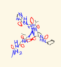 CCC[C@H](NC(=O)[C@@H]1CN(C(=O)Nc2ccccc2)C[C@@H]1NC(=O)[C@@H](NC(=O)CNC(=O)c1cnccn1)C(C)C)C(=O)C(=O)NCC(=O)NCC(N)=O